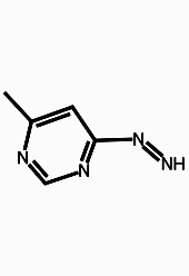 Cc1cc(N=N)ncn1